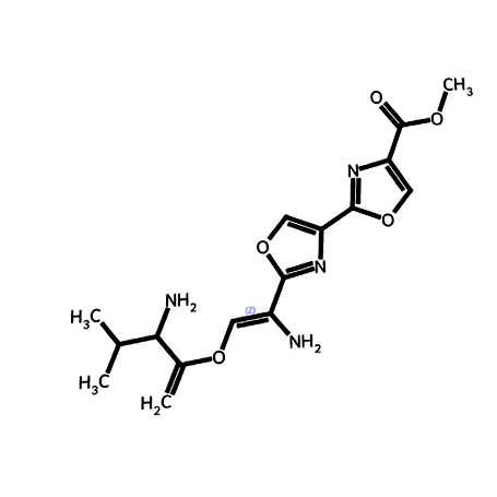 C=C(O/C=C(\N)c1nc(-c2nc(C(=O)OC)co2)co1)C(N)C(C)C